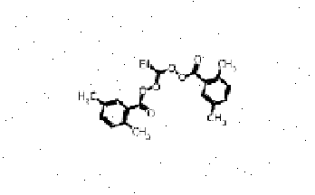 [CH2]C[C](OOC(=O)c1cc(C)ccc1C)OOC(=O)c1cc(C)ccc1C